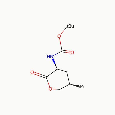 CC(C)[C@H]1COC(=O)[C@@H](NC(=O)OC(C)(C)C)C1